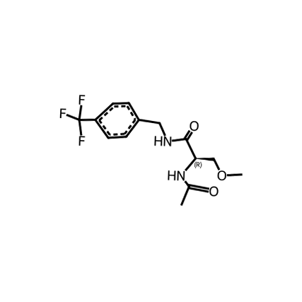 COC[C@@H](NC(C)=O)C(=O)NCc1ccc(C(F)(F)F)cc1